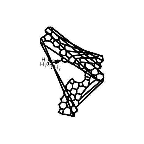 C[Si](C)(C)C#CC1CC2CC3C4CC5C6C7C4C4C3C3C2C2C1CC1C8CC9C%10C%11C8C8C1C2C3C1C4C2C7C3C4C6C5C5C6C7C%12C%13CC%14CC%15CC%16CC%17CC%18CC%19C%18C%18C%17C%17C%16C%16C%15C(C%14%13)C%13C%12C7C7C%12C%13C%16C%13C%17C%14C%18C%15C%19C%16C%17C%18C9C%10C9C%10C%11C(C81)C2C1C3C2C3C4C5C6C7C3C3C%12C%13C4C%14C(C%15%16)C5C%17C%18C9C6C5C4C3C2C6C%101